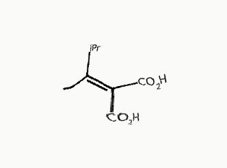 CC(=C(C(=O)O)C(=O)O)C(C)C